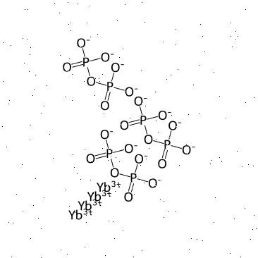 O=P([O-])([O-])OP(=O)([O-])[O-].O=P([O-])([O-])OP(=O)([O-])[O-].O=P([O-])([O-])OP(=O)([O-])[O-].[Yb+3].[Yb+3].[Yb+3].[Yb+3]